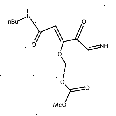 CCCCNC(=O)/C=C(\OCOC(=O)OC)C(=O)C=N